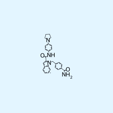 NC(=O)c1ccc(Cn2c(C(=O)Nc3ccc(N4CCCC4)cc3)cc3cc[c]cc32)cc1